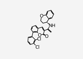 C=C(N[C@H]1CCOc2ccccc21)c1cc2cccc(-c3cccc(Cl)c3Cl)c2oc1=O